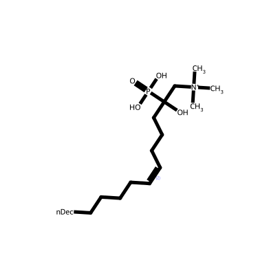 CCCCCCCCCCCCCC/C=C\CCCC(O)(C[N+](C)(C)C)P(=O)(O)O